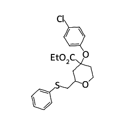 CCOC(=O)C1(Oc2ccc(Cl)cc2)CCOC(CSc2ccccc2)C1